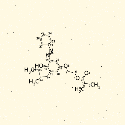 C=C(C)C(=O)OCCOc1cc(CC(C)CC)c(O)c(N=Nc2ccccc2)c1